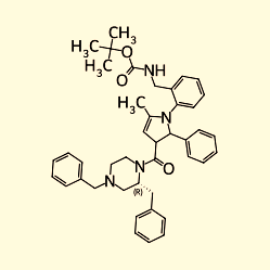 CC1=CC(C(=O)N2CCN(Cc3ccccc3)C[C@H]2Cc2ccccc2)C(c2ccccc2)N1c1ccccc1CNC(=O)OC(C)(C)C